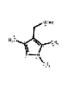 CC(=O)NCc1c(C)nn(C)c1C